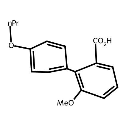 CCCOc1ccc(-c2c(OC)cccc2C(=O)O)cc1